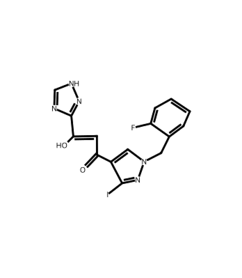 O=C(C=C(O)c1nc[nH]n1)c1cn(Cc2ccccc2F)nc1I